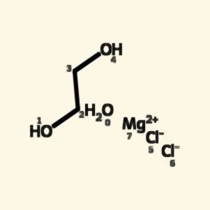 O.OCCO.[Cl-].[Cl-].[Mg+2]